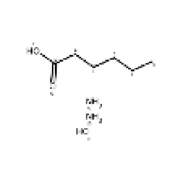 CCCCCC(=O)O.Cl.N.N